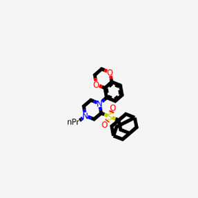 CCCN1CCN(c2cccc3c2OCCO3)C(S(=O)(=O)C23CC4CC(CC(C4)C2)C3)C1